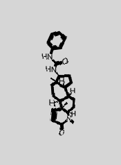 CN1C(=O)C=C[C@]2(C)[C@H]3CC[C@]4(C)[C@@H](NC(=O)Nc5ccccc5)CC[C@H]4[C@@H]3CC[C@@H]12